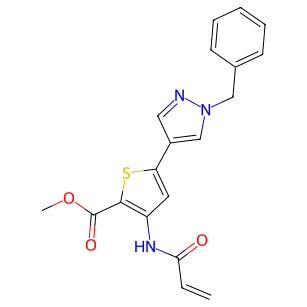 C=CC(=O)Nc1cc(-c2cnn(Cc3ccccc3)c2)sc1C(=O)OC